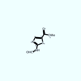 COC(=O)c1cnc(N[C]=O)s1